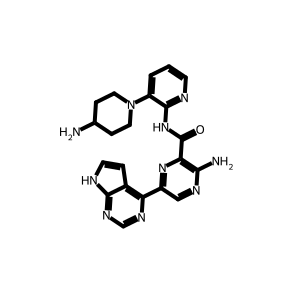 Nc1ncc(-c2ncnc3[nH]ccc23)nc1C(=O)Nc1ncccc1N1CCC(N)CC1